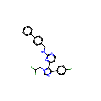 Fc1ccc(-c2ncn(CC(F)F)c2-c2ccnc(NCc3ccc(-c4ccccc4)cc3)n2)cc1